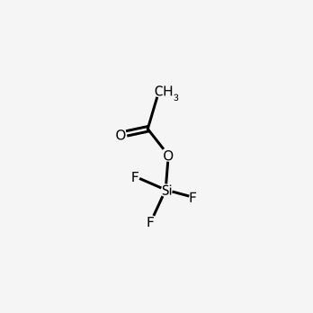 CC(=O)O[Si](F)(F)F